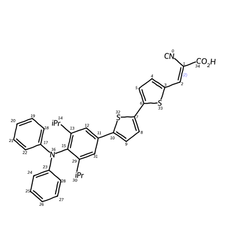 [C-]#[N+]/C(=C\c1ccc(-c2ccc(-c3cc(C(C)C)c(N(c4ccccc4)c4ccccc4)c(C(C)C)c3)s2)s1)C(=O)O